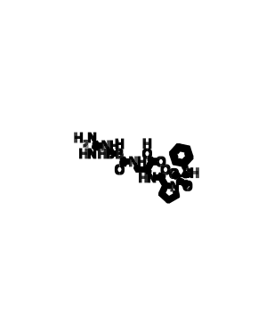 N=C(N)NBBC(=O)NCC(NC(=O)C1CCCN1S(=O)(=O)Bc1ccccc1)C(=O)O